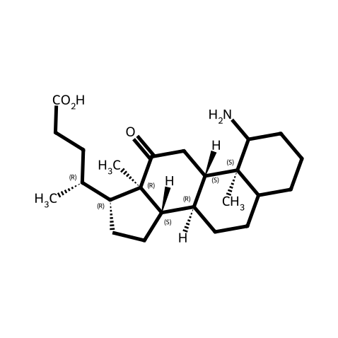 C[C@H](CCC(=O)O)[C@H]1CC[C@H]2[C@@H]3CCC4CCCC(N)[C@]4(C)[C@H]3CC(=O)[C@]12C